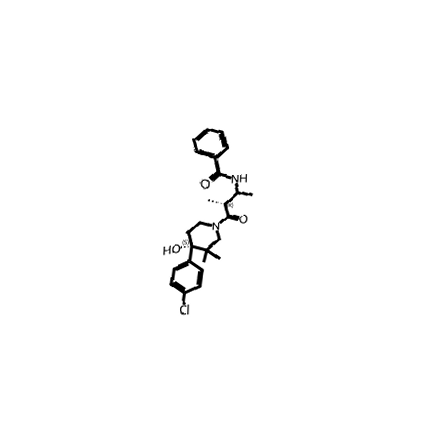 CC(NC(=O)c1ccccc1)[C@@H](C)C(=O)N1CC[C@](O)(c2ccc(Cl)cc2)C(C)(C)C1